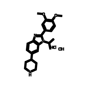 COc1ccc(-c2nc3ccc(C4CCNCC4)cc3n2C(C)C)cc1OC.Cl.Cl